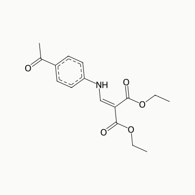 CCOC(=O)C(=CNc1ccc(C(C)=O)cc1)C(=O)OCC